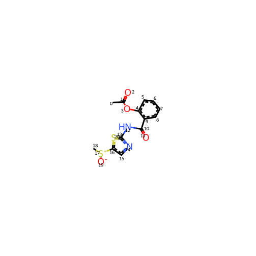 CC(=O)Oc1ccccc1C(=O)Nc1ncc([S+](C)[O-])s1